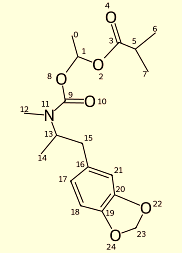 CC(OC(=O)C(C)C)OC(=O)N(C)C(C)Cc1ccc2c(c1)OCO2